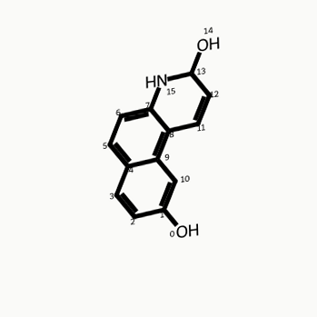 Oc1ccc2ccc3c(c2c1)C=CC(O)N3